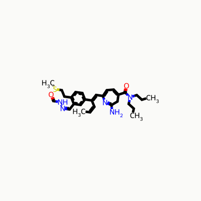 C/C=C\C(=C/C1=CC=C(C(=O)N(CCC)CCC)CC(N)=N1)c1ccc(CCSC)c(/C=N\NC=O)c1